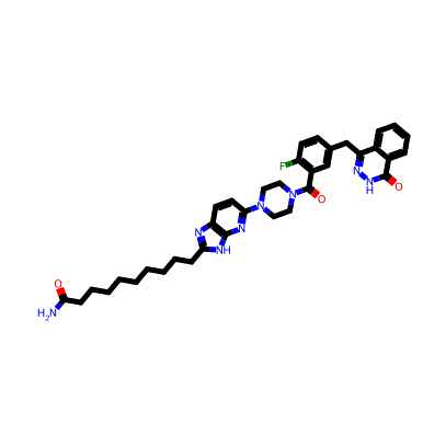 NC(=O)CCCCCCCCCc1nc2ccc(N3CCN(C(=O)c4cc(Cc5n[nH]c(=O)c6ccccc56)ccc4F)CC3)nc2[nH]1